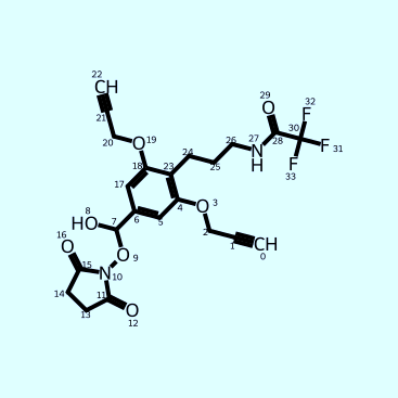 C#CCOc1cc(C(O)ON2C(=O)CCC2=O)cc(OCC#C)c1CCCNC(=O)C(F)(F)F